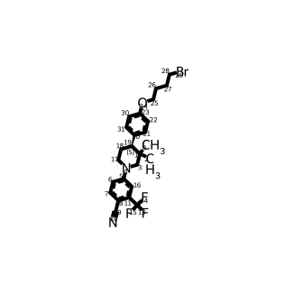 CC1(C)CN(c2ccc(C#N)c(C(F)(F)F)c2)CC[C@H]1c1ccc(OCCCCBr)cc1